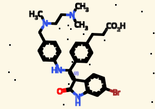 CN(C)CCN(C)Cc1ccc(N/C(=C2\C(=O)Nc3cc(Br)ccc32)c2ccc(CCC(=O)O)cc2)cc1